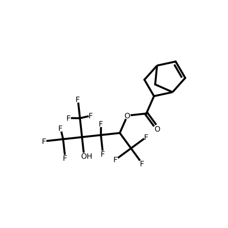 O=C(OC(C(F)(F)F)C(F)(F)C(O)(C(F)(F)F)C(F)(F)F)C1CC2C=CC1C2